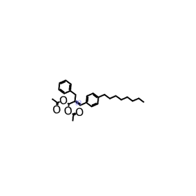 CCCCCCCCc1ccc(/C=C(\Cc2ccccc2)C(OC(C)=O)OC(C)=O)cc1